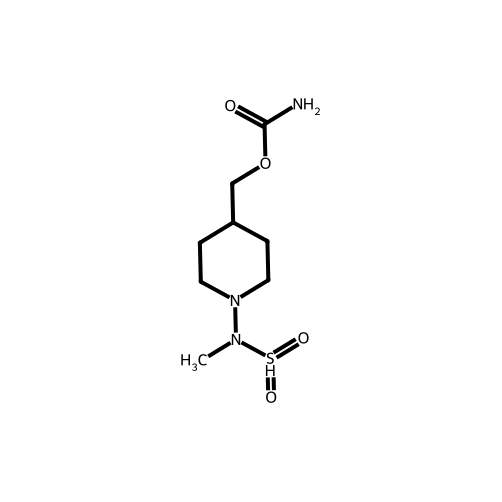 CN(N1CCC(COC(N)=O)CC1)[SH](=O)=O